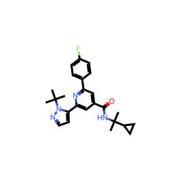 CC(C)(NC(=O)c1cc(-c2ccc(F)cc2)nc(-c2ccnn2C(C)(C)C)c1)C1CC1